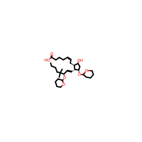 CCCCC(C)(C)[C@@H](/C=C/[C@@H]1[C@@H](C/C=C\CCCC(=O)O)[C@@H](O)C[C@H]1OC1CCCCO1)OC1CCCCO1